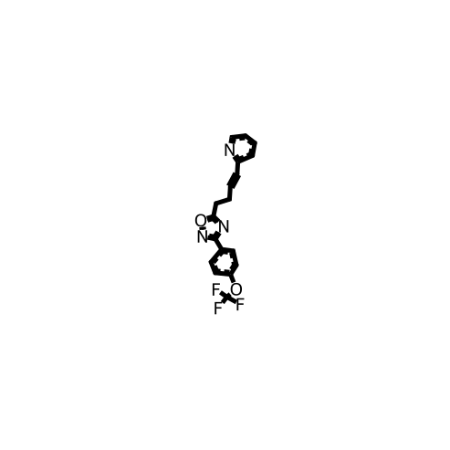 FC(F)(F)Oc1ccc(-c2noc(CCC#Cc3ccccn3)n2)cc1